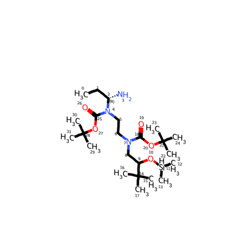 CC[C@H](N)N(CCN(CC(O[SiH](C)C)C(C)(C)C)C(=O)OC(C)(C)C)C(=O)OC(C)(C)C